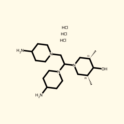 C[C@@H]1CN(C(CN2CCC(N)CC2)N2CCC(N)CC2)C[C@H](C)C1O.Cl.Cl.Cl